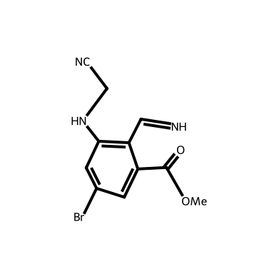 COC(=O)c1cc(Br)cc(NCC#N)c1C=N